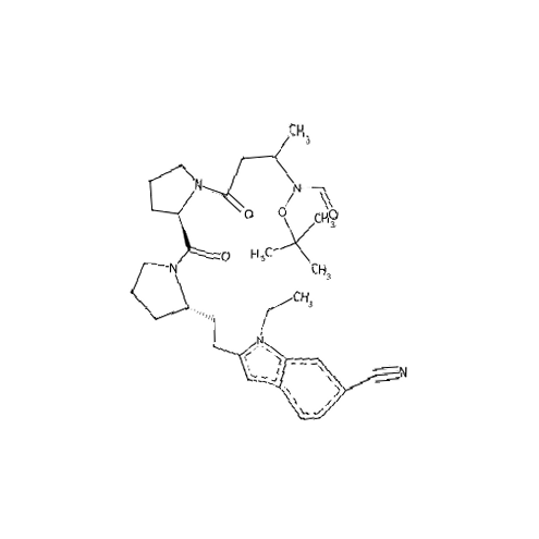 CCn1c(CC[C@@H]2CCCN2C(=O)[C@H]2CCCN2C(=O)CC(C)N(C=O)OC(C)(C)C)cc2ccc(C#N)cc21